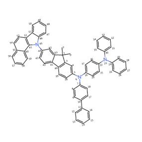 CC1(C)c2cc(N(c3ccc(-c4ccccc4)cc3)c3ccc(N(c4ccccc4)c4ccccc4)cc3)ccc2-c2ccc(-n3c4ccccc4c4ccc5ccccc5c43)cc21